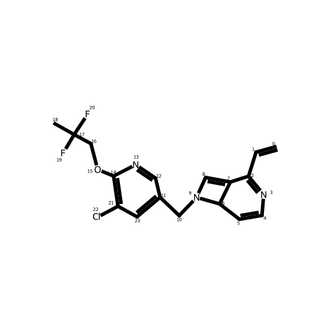 C=CC1=NC=CC2C1=CN2Cc1cnc(OCC(C)(F)F)c(Cl)c1